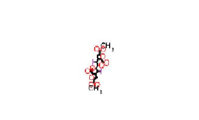 COC(=O)c1cc2c(I)c(-c3oc(=O)c4oc(C(=O)OC)cc4c3I)oc(=O)c2o1